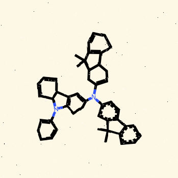 CC1(C)c2ccccc2-c2ccc(N(C3=CC4=C(CC3)N(C3=CCCC=C3)C3C=CC=CC43)C3=CCC4C5=C(C=CCC5)C(C)(C)C4C3)cc21